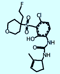 CC1=CCCC1NC(=O)Nc1ccc(Cl)c(S(=O)(=O)C2(CCF)CCOCC2)c1O